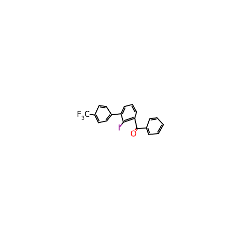 O=C(c1ccccc1)c1cccc(-c2ccc(C(F)(F)F)cc2)c1I